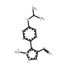 CC(C)Oc1ccc(-c2c(C=O)cnn2C)cc1